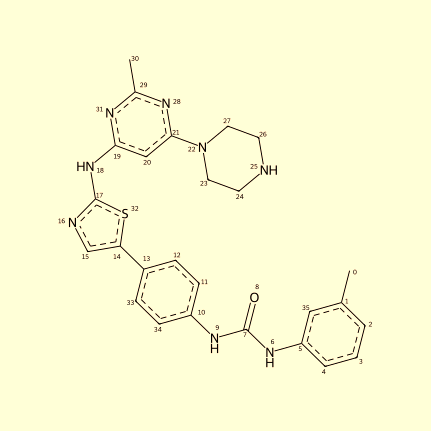 Cc1cccc(NC(=O)Nc2ccc(-c3cnc(Nc4cc(N5CCNCC5)nc(C)n4)s3)cc2)c1